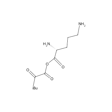 CCC(C)C(=O)C(=O)OC(=O)[C@H](N)CCCN